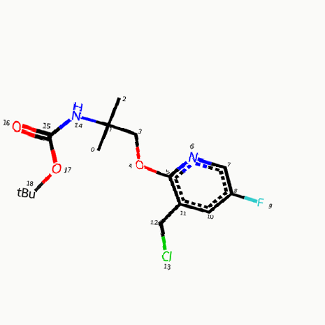 CC(C)(COc1ncc(F)cc1CCl)NC(=O)OC(C)(C)C